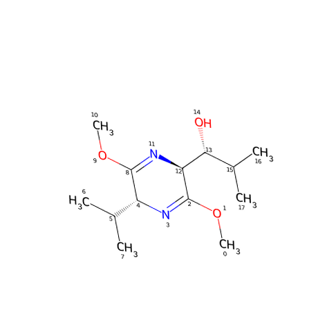 COC1=N[C@H](C(C)C)C(OC)=N[C@H]1[C@H](O)C(C)C